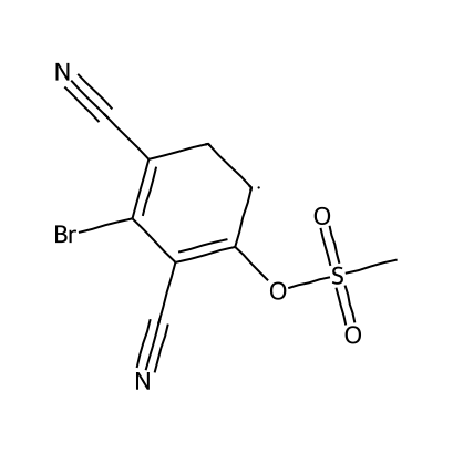 CS(=O)(=O)OC1=C(C#N)C(Br)=C(C#N)C[CH]1